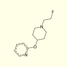 FCCN1CCC(Oc2cc[c]cn2)CC1